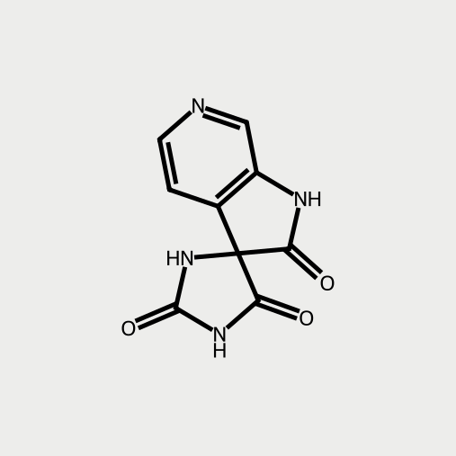 O=C1NC(=O)C2(N1)C(=O)Nc1cnccc12